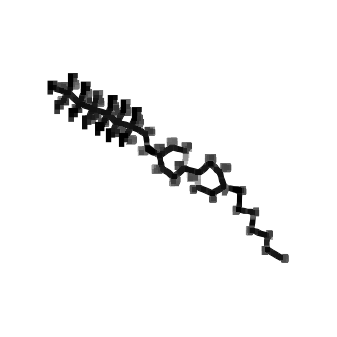 CCCCCCC[C@H]1CC[C@H]([C@H]2CC[C@H](CCC(F)(F)C(F)(F)C(F)(F)C(F)(F)C(F)(F)C(F)(F)F)CC2)CC1